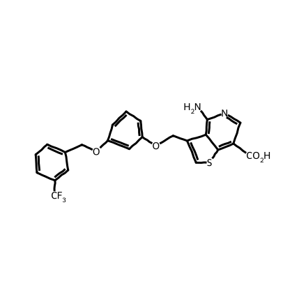 Nc1ncc(C(=O)O)c2scc(COc3cccc(OCc4cccc(C(F)(F)F)c4)c3)c12